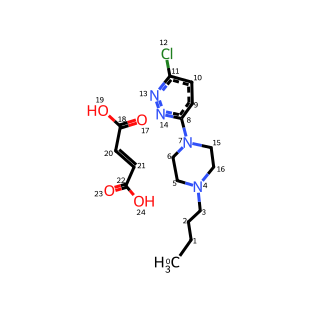 CCCCN1CCN(c2ccc(Cl)nn2)CC1.O=C(O)C=CC(=O)O